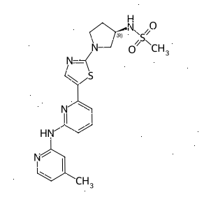 Cc1ccnc(Nc2cccc(-c3cnc(N4CC[C@@H](NS(C)(=O)=O)C4)s3)n2)c1